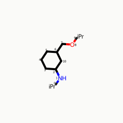 CC(C)NC1CCCC(COC(C)C)C1